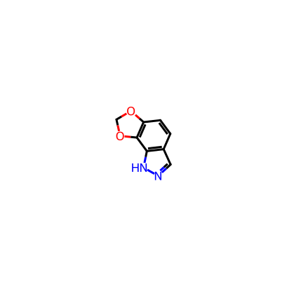 c1cc2cn[nH]c2c2c1OCO2